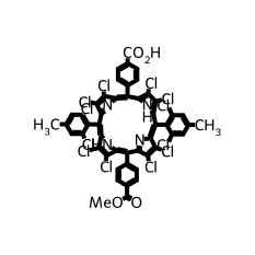 COC(=O)c1ccc(-c2c3nc(c(-c4c(Cl)cc(C)cc4Cl)c4[nH]c(c(Cl)c4Cl)c(-c4ccc(C(=O)O)cc4)c4nc(c(-c5c(Cl)cc(C)cc5Cl)c5[nH]c2c(Cl)c5Cl)C(Cl)=C4Cl)C(Cl)=C3Cl)cc1